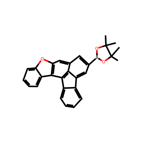 CC1(C)OB(c2cc3c4c(c5c(cc4c2)oc2ccccc25)-c2ccccc2-3)OC1(C)C